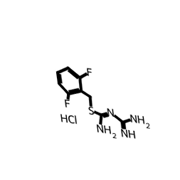 Cl.N=C(N)N=C(N)SCc1c(F)cccc1F